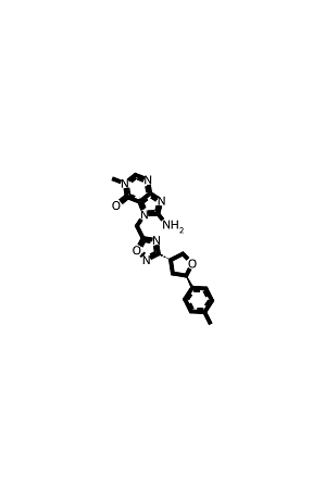 Cc1ccc([C@H]2C[C@H](c3noc(Cn4c(N)nc5ncn(C)c(=O)c54)n3)CO2)cc1